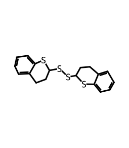 c1ccc2c(c1)CCC(SSC1CCc3ccccc3S1)S2